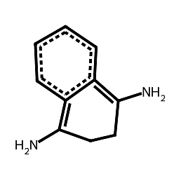 NC1=c2ccccc2=C(N)CC1